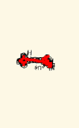 CCOc1ccccc1-c1ncc(C2(C(=O)N[C@@H]3CCN(CCOCCOCCOCCOCCNC(=O)CN4CCN(CC(=O)[O-])CCN(CC(=O)[O-])CCN(CC(=O)[O-])CC4)C3)CCN(c3ccc(C(F)(F)F)cc3C#N)CC2)cc1F.[In+3]